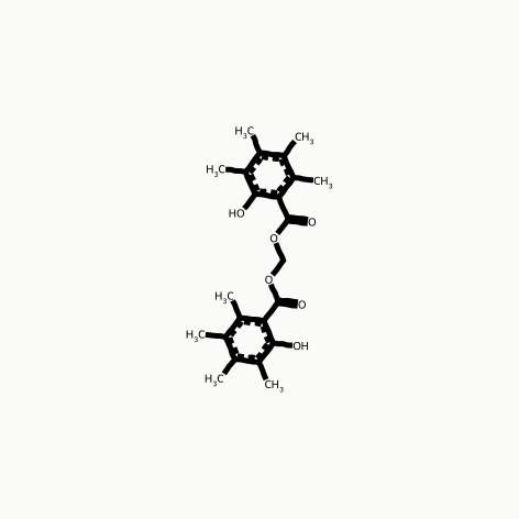 Cc1c(C)c(C)c(C(=O)OCOC(=O)c2c(C)c(C)c(C)c(C)c2O)c(O)c1C